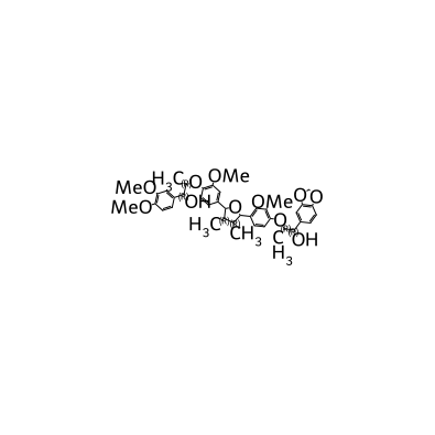 COc1ccc([C@@H](O)[C@@H](C)Oc2ccc(C3OC(c4ccc(O[C@H](C)[C@H](O)c5ccc6c(c5)OCO6)c(OC)c4)[C@H](C)[C@H]3C)cc2OC)cc1OC